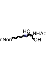 CCCCCCCCCCCCC/C=C/[C@H](O)[C@@H](CO)NC(C)=O